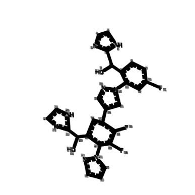 OC(c1ncc[nH]1)c1ccc(F)cc1-n1cc(-c2cc(C(O)c3ncc[nH]3)c(-n3cccn3)c(F)c2F)cn1